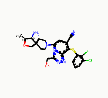 C[C@@H]1OCC2(CCN(c3cc(C#N)c(Sc4cccc(Cl)c4Cl)c4nnc(CO)n34)CC2)[C@@H]1N